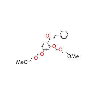 COCCOCOc1ccc(C(=O)/C=C/c2ccccc2)c(OCOCCOC)c1